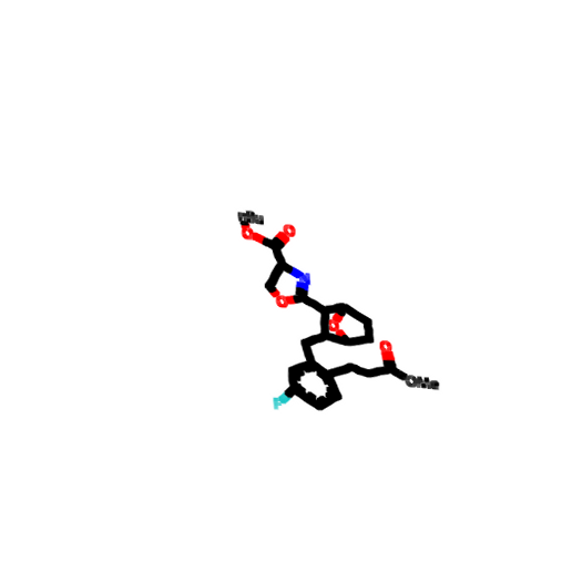 CCCCOC(=O)C1COC(C2C3CCC(O3)C2Cc2cc(F)ccc2CCC(=O)OC)=N1